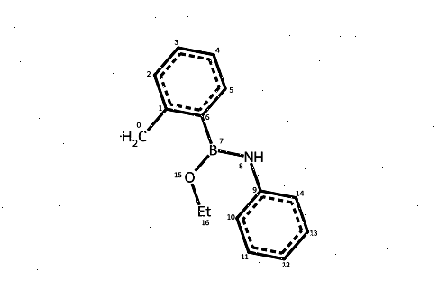 [CH2]c1ccccc1B(Nc1ccccc1)OCC